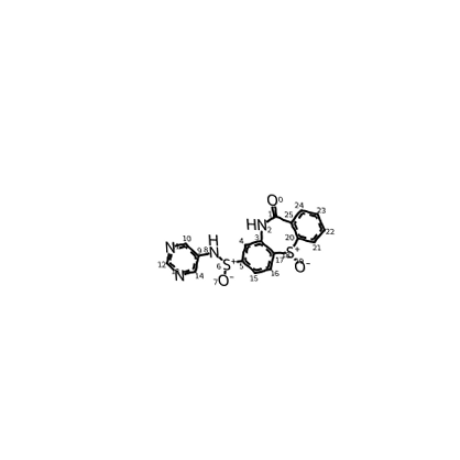 O=C1Nc2cc([S+]([O-])Nc3cncnc3)ccc2[S+]([O-])c2ccccc21